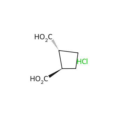 Cl.O=C(O)[C@@H]1CC[C@H]1C(=O)O